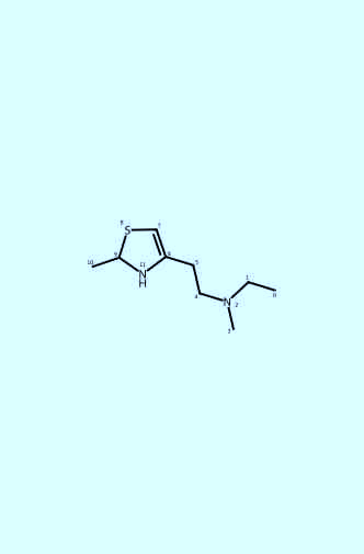 CCN(C)CCC1=CSC(C)N1